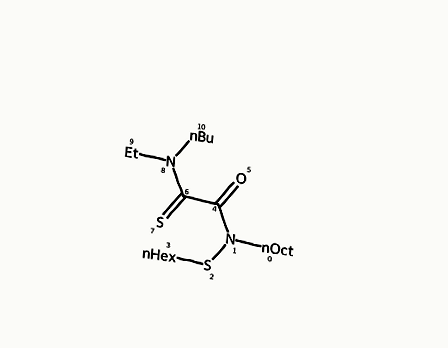 CCCCCCCCN(SCCCCCC)C(=O)C(=S)N(CC)CCCC